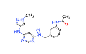 CC(=O)Nc1cccc(CNc2cc(Nc3cnn(C)c3)ncn2)c1